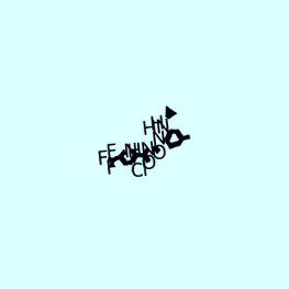 Cc1ccc(NC(=O)NC(=O)c2ncc(C(F)(F)F)cc2Cl)c(NC2CC2)c1